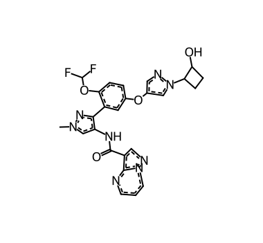 Cn1cc(NC(=O)c2cnn3cccnc23)c(-c2cc(Oc3cnn(C4CCC4O)c3)ccc2OC(F)F)n1